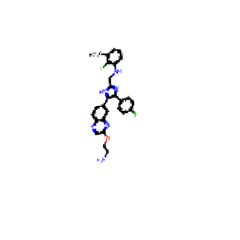 NCCOc1cnc2ccc(-c3[nH]c(CNc4cccc(C(=O)O)c4F)nc3-c3ccc(F)cc3)cc2n1